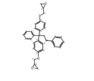 c1ccc(CCC(c2ccccc2)(c2ccc(OCC3CO3)cc2)c2ccc(OCC3CO3)cc2)cc1